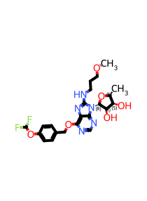 COCCCNc1nc2c(OCc3ccc(OC(F)F)cc3)ncnc2n1[C@@H]1O[C@H](C)[C@@H](O)[C@H]1O